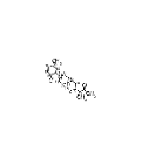 CC(=O)C(C)C1CCC2(CC1)CCN(c1cc(C)ccc1Cl)CC2